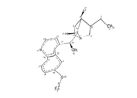 CCC1C[N@]2CC[C@H]1C[C@H]2[C@@H](O)c1ccnc2ccc(OC)cc12